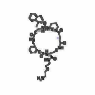 NCCOCCNC(=O)[C@@H]1CCNC(=O)/C=C/C(=O)N2CCC[C@H](C2)C(=O)N[C@@H](Cc2cccc3ccccc23)CC(=O)NCc2ccccc2CC(=O)N1